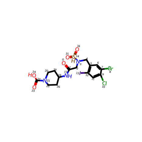 O=C(CN(Cc1cc(Br)c(Cl)cc1I)[SH](=O)=O)NC1CCN(C(=O)O)CC1